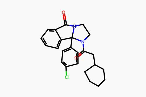 O=C(CC1CCCCC1)N1CCN2C(=O)c3ccccc3C12c1ccc(Cl)cc1